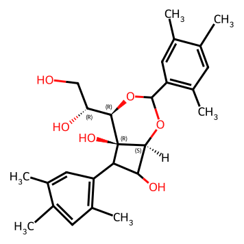 Cc1cc(C)c(C2O[C@H]([C@H](O)CO)[C@@]3(O)C(c4cc(C)c(C)cc4C)C(O)[C@@H]3O2)cc1C